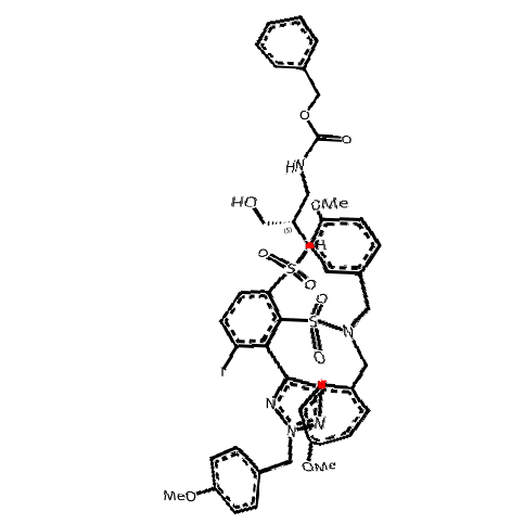 COc1ccc(CN(Cc2ccc(OC)cc2)S(=O)(=O)c2c(S(=O)(=O)N[C@H](CO)CNC(=O)OCc3ccccc3)ccc(I)c2-c2nnn(Cc3ccc(OC)cc3)n2)cc1